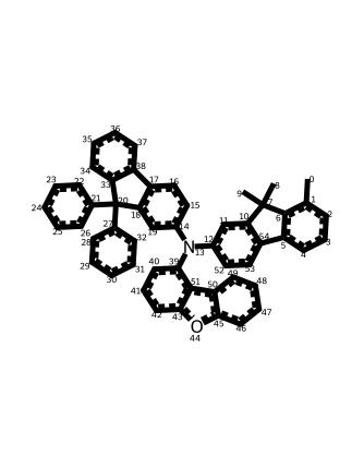 Cc1cccc2c1C(C)(C)c1cc(N(c3ccc4c(c3)C(c3ccccc3)(c3ccccc3)c3ccccc3-4)c3cccc4oc5ccccc5c34)ccc1-2